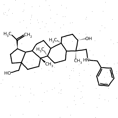 C=C(C)[C@@H]1CCC2(CO)CC[C@]3(C)C(CCC4[C@@]5(C)CC[C@H](O)[C@@](C)(CNCc6ccccc6)C5CC[C@]43C)C12